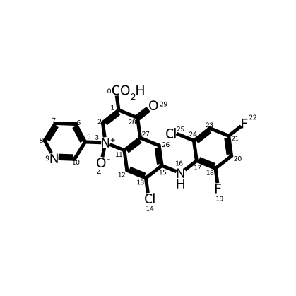 O=C(O)C1=C[N+]([O-])(c2cccnc2)c2cc(Cl)c(Nc3c(F)cc(F)cc3Cl)cc2C1=O